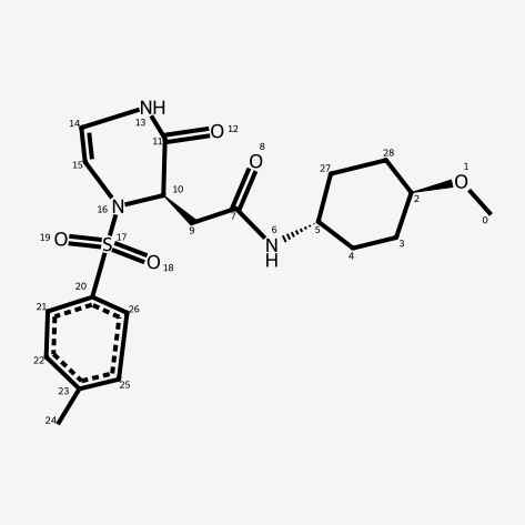 CO[C@H]1CC[C@H](NC(=O)C[C@@H]2C(=O)NC=CN2S(=O)(=O)c2ccc(C)cc2)CC1